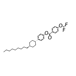 CCCCCCCCC[C@H]1CC[C@H](c2ccc(OC(=O)c3ccc(OC(F)F)cc3)cc2)CC1